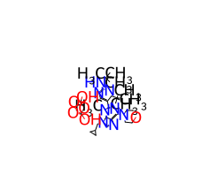 Cc1nc(NC(C)(C)C)nc(C(C)(C)C)c1-c1nc(N2CCOCC2)c2ncn(CC3CC3)c2n1.O=C(O)OC(=O)O